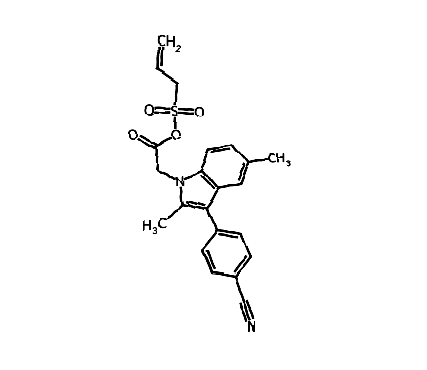 C=CCS(=O)(=O)OC(=O)Cn1c(C)c(-c2ccc(C#N)cc2)c2cc(C)ccc21